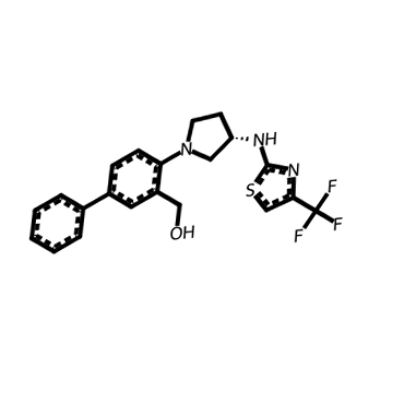 OCc1cc(-c2ccccc2)ccc1N1CC[C@H](Nc2nc(C(F)(F)F)cs2)C1